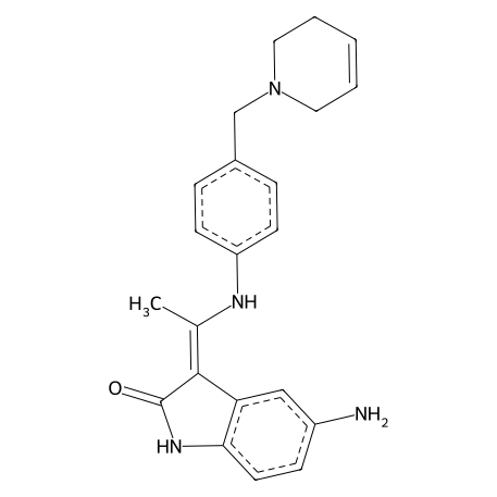 CC(Nc1ccc(CN2CC=CCC2)cc1)=C1C(=O)Nc2ccc(N)cc21